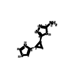 Nc1nnc([C@H]2C[C@@H]2c2cscn2)s1